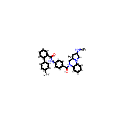 CC(C)NC1C[C@@H]2CN(C(=O)c3ccc(NC(=O)c4ccccc4-c4ccc(C(C)C)cc4)cc3)c3ccccc3N2C1